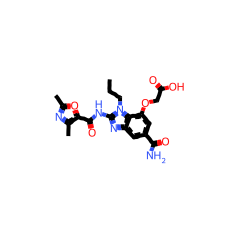 CCCn1c(NC(=O)c2oc(C)nc2C)nc2cc(C(N)=O)cc(OCC(=O)O)c21